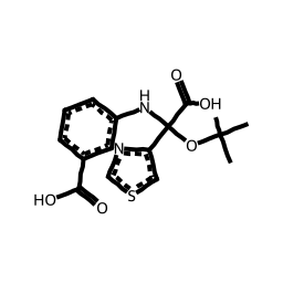 CC(C)(C)OC(Nc1cccc(C(=O)O)c1)(C(=O)O)c1cscn1